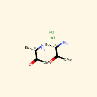 CC[C@H](N)C(=O)OC.CC[C@H](N)C(=O)OC.Cl.Cl